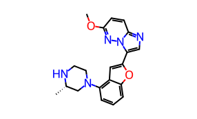 COc1ccc2ncc(-c3cc4c(N5CCN[C@@H](C)C5)cccc4o3)n2n1